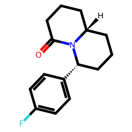 O=C1CCC[C@@H]2CCC[C@H](c3ccc(F)cc3)N12